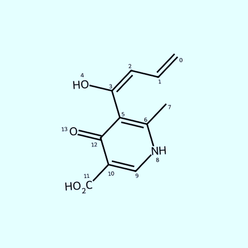 C=C/C=C(/O)c1c(C)[nH]cc(C(=O)O)c1=O